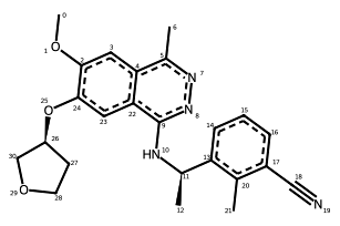 COc1cc2c(C)nnc(N[C@H](C)c3cccc(C#N)c3C)c2cc1O[C@H]1CCOC1